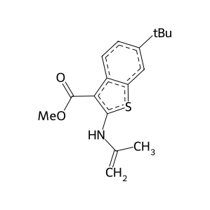 C=C(C)Nc1sc2cc(C(C)(C)C)ccc2c1C(=O)OC